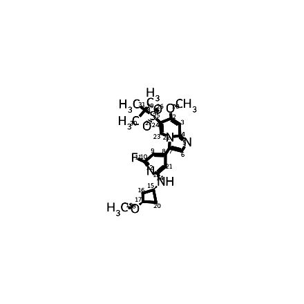 COc1cc2ncc(-c3cc(F)nc(N[C@H]4C[C@H](OC)C4)c3)n2cc1S(=O)(=O)C(C)(C)C